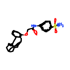 NS(=O)(=O)c1ccc(NC(=O)COc2cccc3c2C24CC5CC(C2)C3C(C5)C4)cc1